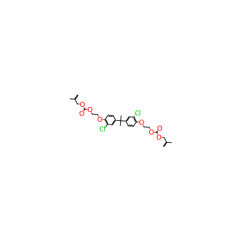 C=C(C)COC(=O)OCCOc1ccc(C(C)(C)c2ccc(OCCOC(=O)OCC(=C)C)c(Cl)c2)cc1Cl